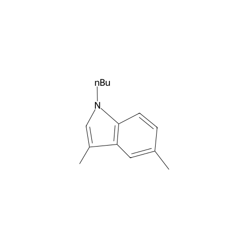 CCCCn1cc(C)c2cc(C)ccc21